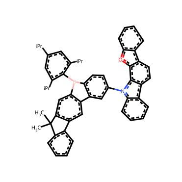 CC(C)c1cc(C(C)C)c(B2c3ccc(-n4c5ccccc5c5ccc6c7ccccc7oc6c54)cc3-c3cc4c(cc32)C(C)(C)c2ccccc2-4)c(C(C)C)c1